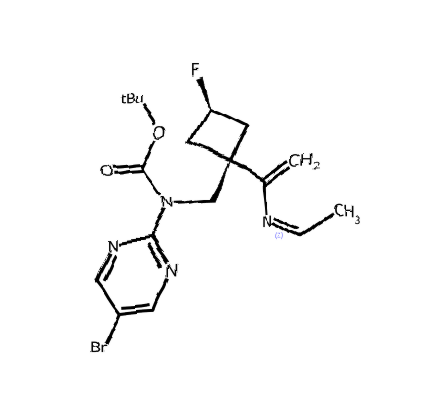 C=C(/N=C\C)[C@]1(CN(C(=O)OC(C)(C)C)c2ncc(Br)cn2)C[C@@H](F)C1